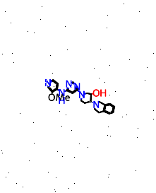 COc1cnccc1Nc1cc(N2CC[C@@H](N3CCc4ccccc4C3)[C@H](O)C2)ncn1